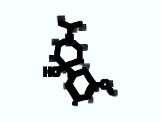 COC1=CC=CC(C2(O)CCN(C(C)C)CC2)C1